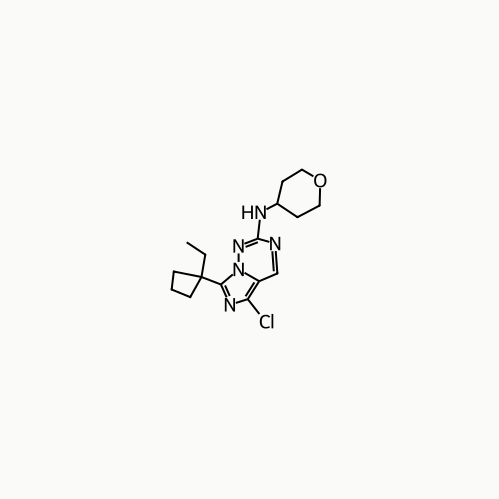 CCC1(c2nc(Cl)c3cnc(NC4CCOCC4)nn23)CCC1